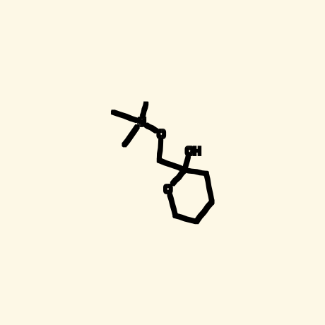 C[Si](C)(C)OCC1(O)CCCCO1